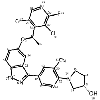 C[C@@H](Oc1ccc2[nH]nc(-c3cnc(N4CC[C@H](O)C4)c(C#N)c3)c2c1)c1c(Cl)cnc(F)c1Cl